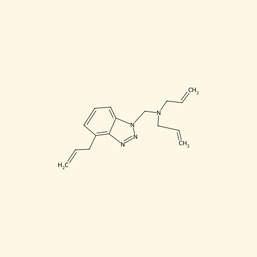 C=CCc1cccc2c1nnn2CN(CC=C)CC=C